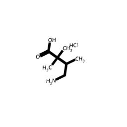 CC(CN)C(C)(C)C(=O)O.Cl